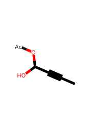 CC#CC(O)OC(C)=O